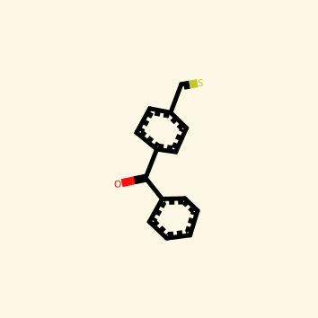 O=C(c1ccccc1)c1ccc(C=S)cc1